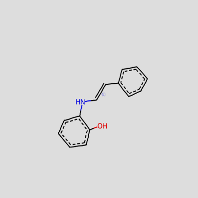 Oc1ccccc1N/C=C/c1ccccc1